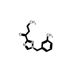 CCCC(=O)c1ncn(Cc2cccc(C)c2)n1